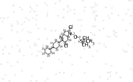 C[Si](C)(C)CCOCn1c(Cl)cc2nc(-c3ccc(-c4ccccc4)cc3)c(Cl)cc21